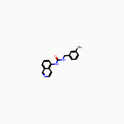 CC(C)(C)c1cccc(CNC(=O)Nc2cccc3cnccc23)c1